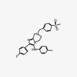 Cc1ccc(Nc2c(-c3ccc(F)cc3)nc3n2CCN(Cc2ccc(S(C)(=O)=O)cc2)C3)cc1